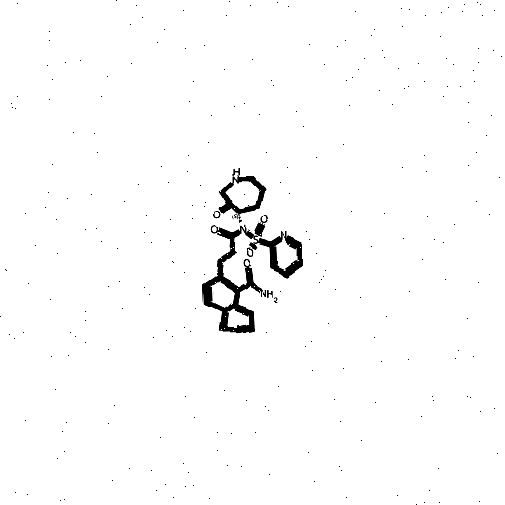 NC(=O)c1c(C[CH]C(=O)N([C@H]2CCCNCC2=O)S(=O)(=O)c2ccccn2)ccc2ccccc12